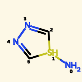 N[SH]1C=NN=C1